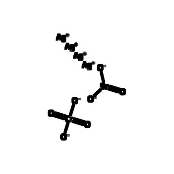 O=[Se]([O-])[O-].[Ag+].[Ag+].[Ag+].[Ag+].[O]=[Cr](=[O])([O-])[O-]